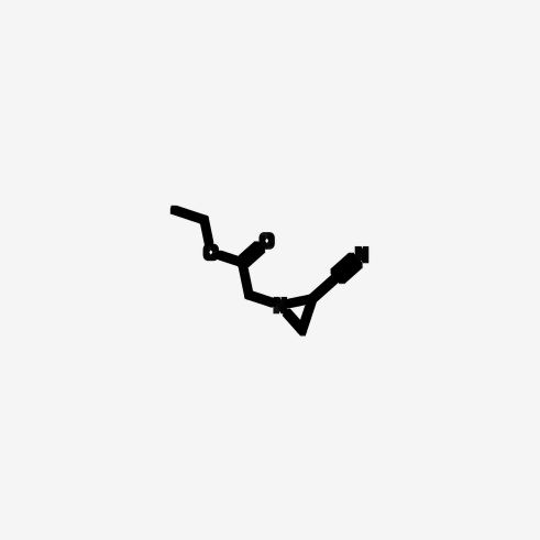 CCOC(=O)CN1CC1C#N